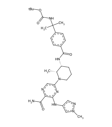 C[C@@H]1[C@H](NC(=O)c2ccc(C(C)(C)NC(=O)OC(C)(C)C)cc2)CCCN1c1cnc(C(N)=O)c(Nc2cnn(C)c2)n1